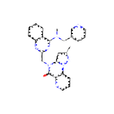 Cc1cc2n(Cc3nc(N(C)Cc4cccnc4)c4ccccc4n3)c(=O)c3ncccc3n2n1